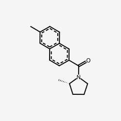 Cc1ccc2cc(C(=O)N3CCC[C@@H]3C)ccc2c1